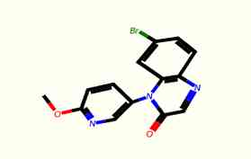 COc1ccc(-n2c(=O)cnc3ccc(Br)cc32)cn1